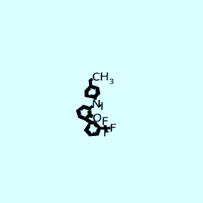 CCc1ccc(N(I)c2cccc3c2oc2c(C(F)(F)F)cccc23)cc1